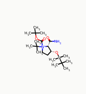 CC(C)(C)OC(=O)[N+]1(C(C)(C)C)CC[C@@H](O[Si](C)(C)C(C)(C)C)[C@H]1C(N)=O